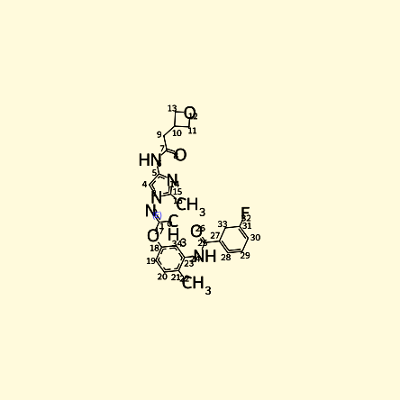 C/C(=N\n1cc(NC(=O)CC2COC2)nc1C)Oc1ccc(C)c(NC(=O)C2=C=CC=C(F)C2)c1